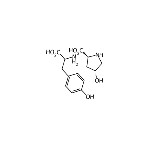 NC(Cc1ccc(O)cc1)C(=O)O.O=C(O)[C@@H]1C[C@@H](O)CN1